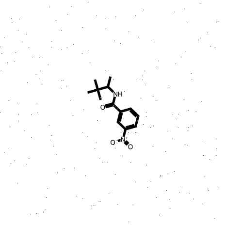 CC(NC(=O)c1cccc([N+](=O)[O-])c1)C(C)(C)C